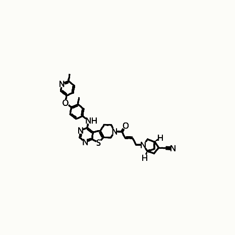 Cc1ccc(Oc2ccc(Nc3ncnc4sc5c(c34)CCN(C(=O)/C=C/CN3C[C@H]4C[C@@H]3CC4C#N)C5)cc2C)cn1